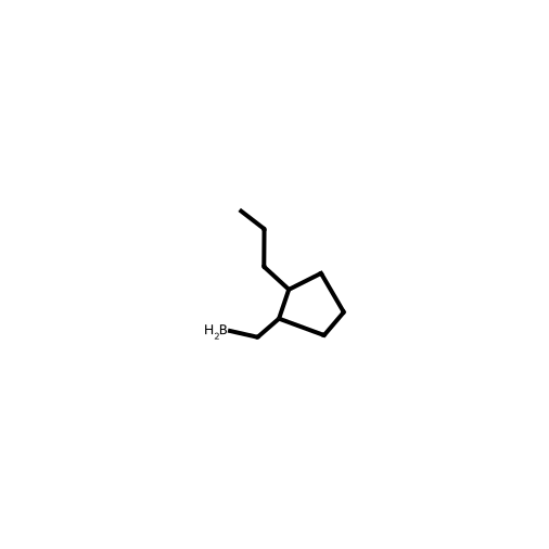 BCC1CCCC1CCC